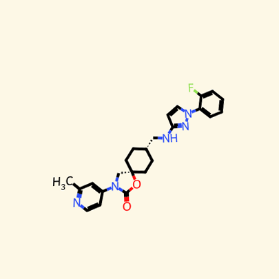 Cc1cc(N2C[C@]3(CC[C@@H](CNc4ccn(-c5ccccc5F)n4)CC3)OC2=O)ccn1